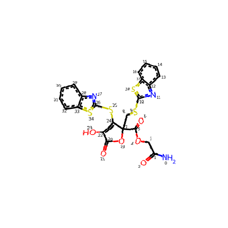 NC(=O)COC(=O)C1(CSc2nc3ccccc3s2)OC(=O)C(O)=C1Sc1nc2ccccc2s1